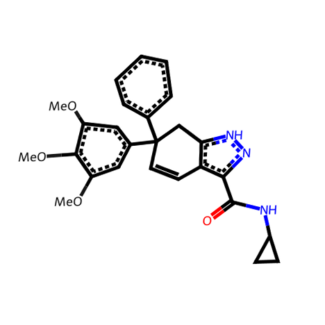 COc1cc(C2(c3ccccc3)C=Cc3c(C(=O)NC4CC4)n[nH]c3C2)cc(OC)c1OC